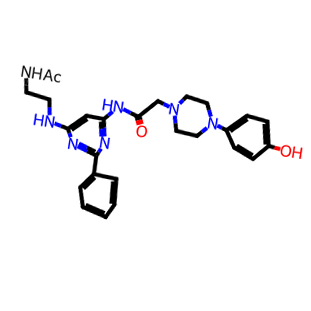 CC(=O)NCCNc1cc(NC(=O)CN2CCN(c3ccc(O)cc3)CC2)nc(-c2ccccc2)n1